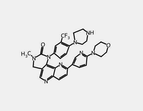 CN1Cc2cnc3ccc(-c4ccc(N5CCOCC5)nc4)nc3c2N(c2ccc(N3CCNCC3)c(C(F)(F)F)c2)C1=O